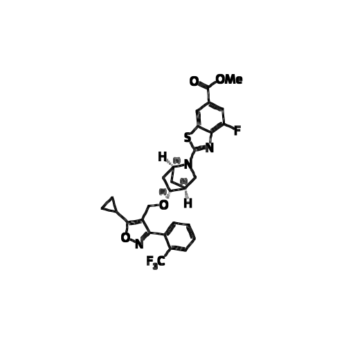 COC(=O)c1cc(F)c2nc(N3C[C@@H]4C[C@H]3C[C@H]4OCc3c(-c4ccccc4C(F)(F)F)noc3C3CC3)sc2c1